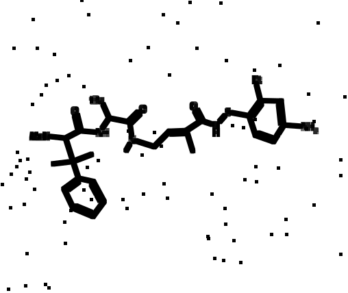 CCc1cc(N)ccc1SNC(=O)/C(C)=C/CN(C)C(=O)C(NC(=O)C(NC)C(C)(C)c1ccccc1)C(C)(C)C